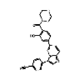 N#Cc1ccc(-c2cnc3ccc(-c4ccc(C(=O)N5CCOCC5)c(O)c4)nn23)cc1